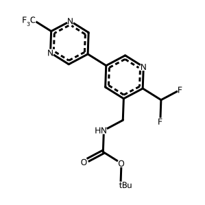 CC(C)(C)OC(=O)NCc1cc(-c2cnc(C(F)(F)F)nc2)cnc1C(F)F